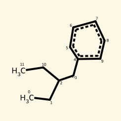 CCC([C]c1ccccc1)CC